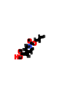 CCCCOC(=O)N1CCC2(CC1)CC2C(=O)O